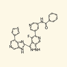 O=C(Nc1cncc(-c2ncc3[nH]nc(-c4nc5c(-c6ccsc6)cncc5[nH]4)c3c2F)c1)c1ccccc1